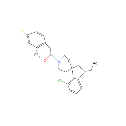 CC(=O)CC1CC2(CCN(C(=O)Cc3ccc(F)cc3C(F)(F)F)CC2)c2c(Cl)cccc21